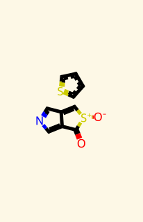 O=C1C2=CN=CC2=C[S+]1[O-].c1ccsc1